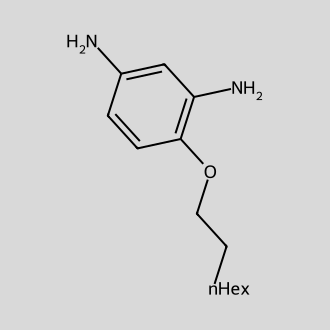 CCCCCCCCOc1ccc(N)cc1N